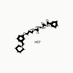 Cl.O=C(NC(=S)NNC(=S)NCCCOc1cccc(CN2CCCCC2)c1)c1ccccc1